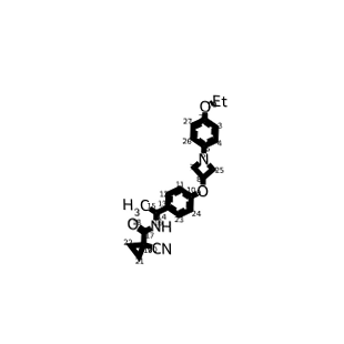 CCOc1ccc(N2CC(Oc3ccc(C(C)NC(=O)C4(C#N)CC4)cc3)C2)cc1